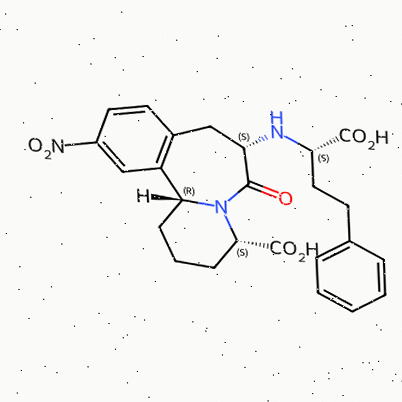 O=C(O)[C@H](CCc1ccccc1)N[C@H]1Cc2ccc([N+](=O)[O-])cc2[C@H]2CCC[C@@H](C(=O)O)N2C1=O